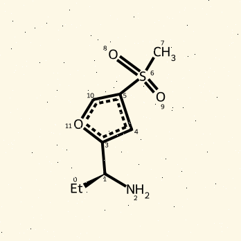 CC[C@H](N)c1cc(S(C)(=O)=O)co1